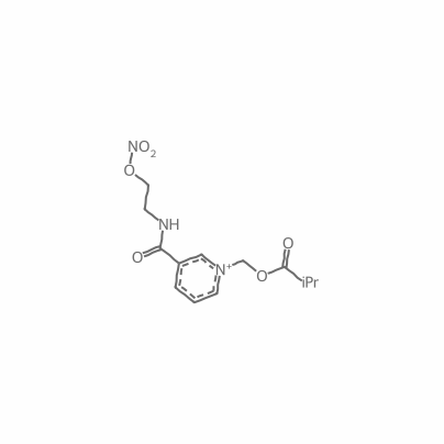 CC(C)C(=O)OC[n+]1cccc(C(=O)NCCO[N+](=O)[O-])c1